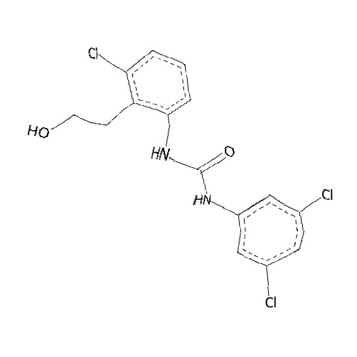 O=C(Nc1cc(Cl)cc(Cl)c1)Nc1cccc(Cl)c1CCO